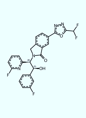 O=C1c2cc(-c3nnc(C(F)F)o3)ccc2CN1[C@H](c1cccc(F)n1)[C@@H](O)c1cccc(F)c1